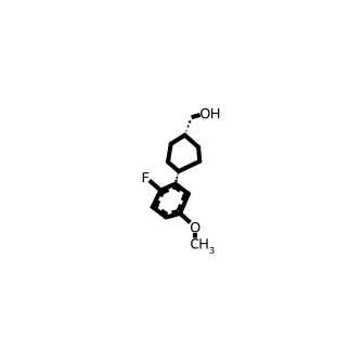 COc1ccc(F)c([C@H]2CC[C@@H](CO)CC2)c1